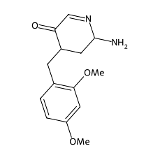 COc1ccc(CC2CC(N)N=CC2=O)c(OC)c1